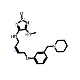 CNc1n[s+]([O-])nc1NC/C=C\COc1cccc(CN2CCCCC2)c1